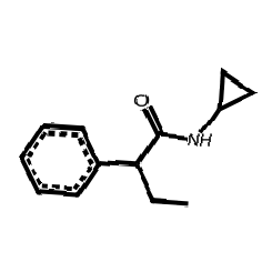 CCC(C(=O)NC1CC1)c1ccccc1